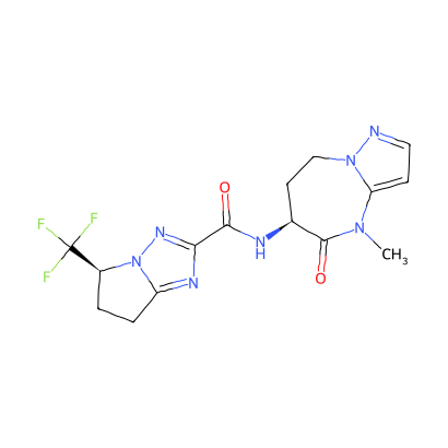 CN1C(=O)[C@@H](NC(=O)c2nc3n(n2)[C@H](C(F)(F)F)CC3)CCn2nccc21